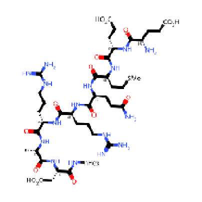 CCCCCCNC(=O)[C@H](CC(=O)O)NC(=O)[C@H](C)NC(=O)[C@H](CCCNC(=N)N)NC(=O)[C@H](CCCNC(=N)N)NC(=O)[C@H](CCC(N)=O)NC(=O)[C@H](CCSC)NC(=O)[C@H](CCC(=O)O)NC(=O)[C@@H](N)CCC(=O)O